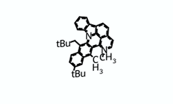 Cc1c2cc(C(C)(C)C)ccc2c(CC(C)(C)C)c2c1c1c3c(ccc4c5ccccc5n2c43)cc[n+]1C